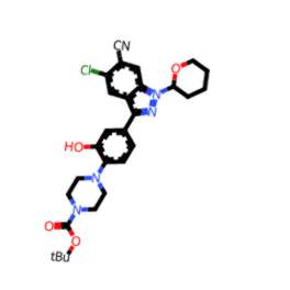 CC(C)(C)OC(=O)N1CCN(c2ccc(-c3nn(C4CCCCO4)c4cc(C#N)c(Cl)cc34)cc2O)CC1